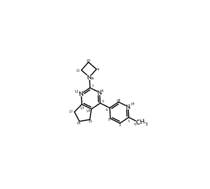 Cc1ccc(-c2nc(N3CCC3)nc3c2CCC3)cn1